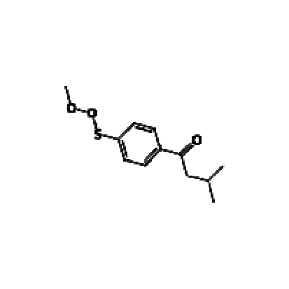 COOSc1ccc(C(=O)CC(C)C)cc1